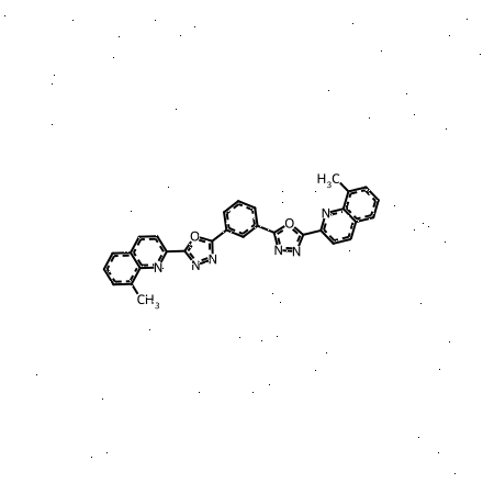 Cc1cccc2ccc(-c3nnc(-c4cccc(-c5nnc(-c6ccc7cccc(C)c7n6)o5)c4)o3)nc12